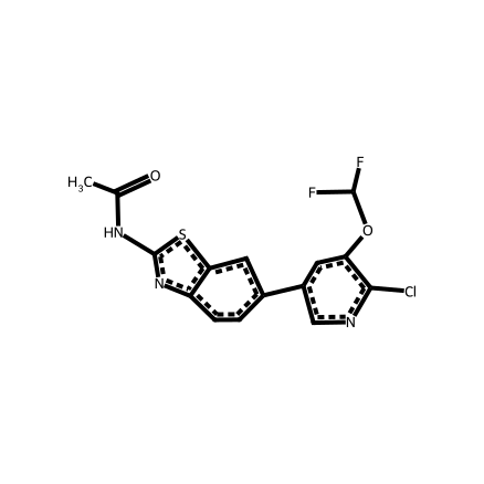 CC(=O)Nc1nc2ccc(-c3cnc(Cl)c(OC(F)F)c3)cc2s1